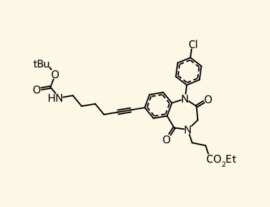 CCOC(=O)CCN1CC(=O)N(c2ccc(Cl)cc2)c2ccc(C#CCCCCNC(=O)OC(C)(C)C)cc2C1=O